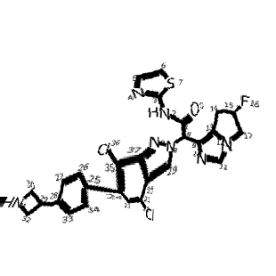 O=C(Nc1nccs1)C(c1ncn2c1C[C@@H](F)C2)n1cc2c(Cl)cc(-c3ccc(C4CNC4)cc3)c(Cl)c2n1